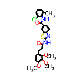 COc1ccc(CCC(=O)Nc2nc3ccc(C(=O)Nc4c(C)cccc4Cl)cc3s2)c(OC)c1OC